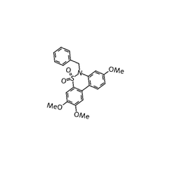 COc1ccc2c(c1)N(Cc1ccccc1)S(=O)(=O)c1cc(OC)c(OC)cc1-2